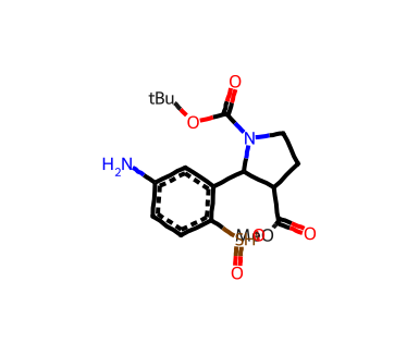 COC(=O)C1CCN(C(=O)OC(C)(C)C)C1c1cc(N)ccc1[SH](=O)=O